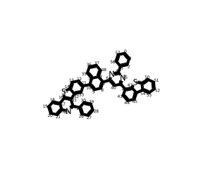 c1ccc(-c2nc(-c3ccc(-c4ccc5sc6c7ccccc7nc(-c7ccccc7)c6c5c4)c4ccccc34)cc(-c3cccc4c3sc3ccccc34)n2)cc1